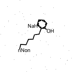 CCCCCCCCCCCCCCCc1ccccc1O.[NaH]